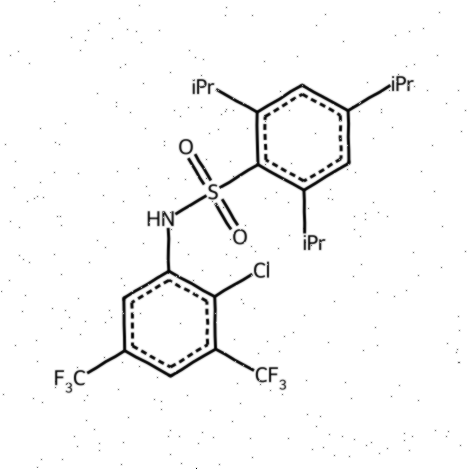 CC(C)c1cc(C(C)C)c(S(=O)(=O)Nc2cc(C(F)(F)F)cc(C(F)(F)F)c2Cl)c(C(C)C)c1